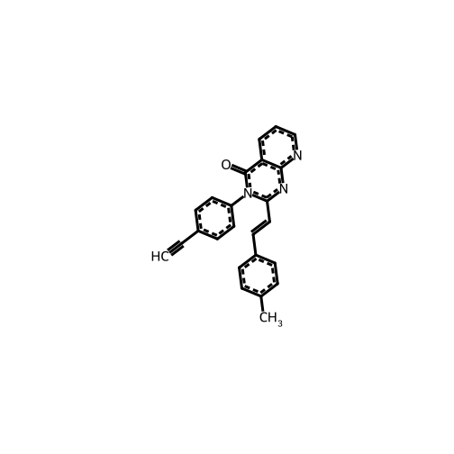 C#Cc1ccc(-n2c(/C=C/c3ccc(C)cc3)nc3ncccc3c2=O)cc1